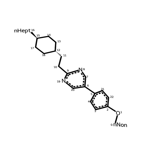 CCCCCCCCCOc1ccc(-c2cnc(CC[C@H]3CC[C@H](CCCCCCC)CC3)nc2)cc1